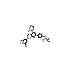 CCNC(=O)Nc1ccc(-c2nc3c(c(N4CCOCC4C)n2)CCN(c2cc(C)[nH]c(=O)c2)C3)cc1